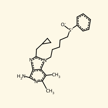 Cc1nc(N)c2nc(CC3CC3)n(CCCCC[S+]([O-])c3ccccc3)c2c1C